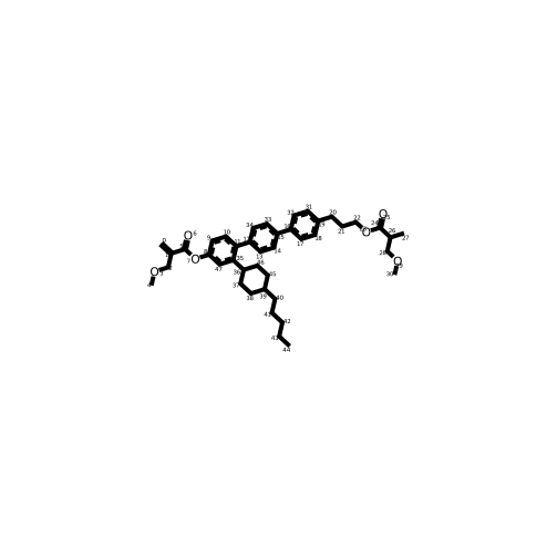 C=C(COC)C(=O)Oc1ccc(-c2ccc(-c3ccc(CCCOC(=O)C(C)COC)cc3)cc2)c(C2CCC(CCCCC)CC2)c1